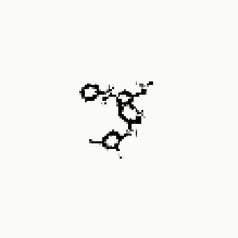 CNCc1cn(S(=O)(=O)c2cccnc2)c2cc(Nc3ccc(C)cc3Cl)cnc12